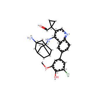 COc1cc(-c2ccc3ncc(C4(C=O)CC4)c(NC45CC6CC(CC(N)(C6)C4)C5)c3c2)cc(Cl)c1O